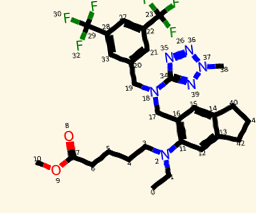 CCN(CCCCC(=O)OC)c1cc2c(cc1CN(Cc1cc(C(F)(F)F)cc(C(F)(F)F)c1)c1nnn(C)n1)CCC2